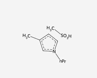 CCCn1ccc(C)c1.CS(=O)(=O)O